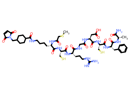 CSCC(=O)N[C@@H](CCCCNC(=O)C1CCC(CN2C(=O)C=CC2=O)CC1)C(=O)N[C@@H](CS)C(=O)N[C@@H](CCCNC(=N)N)C(=O)NCC(=O)N[C@@H](CC(=O)O)C(=O)N[C@@H](CS)C(=O)N[C@@H](Cc1ccccc1)C(=O)N[C@@H](C)C(N)=O